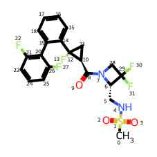 CS(=O)(=O)NC[C@@H]1N(C(=O)[C@@H]2C[C@@]2(F)c2ccccc2-c2c(F)cccc2F)CC1(F)F